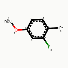 CCCCOc1ccc(C(C)C)c(F)c1